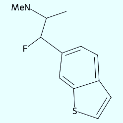 CNC(C)C(F)c1ccc2ccsc2c1